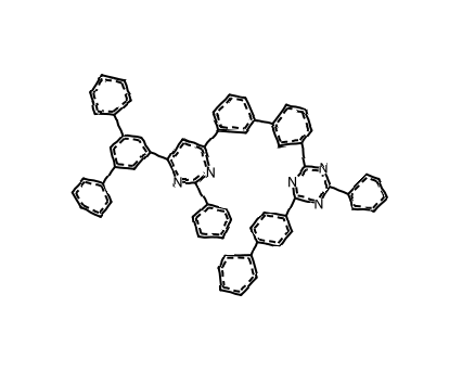 c1ccc(-c2ccc(-c3nc(-c4ccccc4)nc(-c4cccc(-c5cccc(-c6cc(-c7cc(-c8ccccc8)cc(-c8ccccc8)c7)nc(-c7ccccc7)n6)c5)c4)n3)cc2)cc1